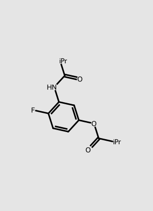 CC(C)C(=O)Nc1cc(OC(=O)C(C)C)ccc1F